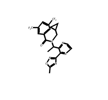 Cc1nc(-c2nccnc2C(C)N(CC2CC2)C(=O)c2cc(C(F)(F)F)cc(C(F)(F)F)c2)no1